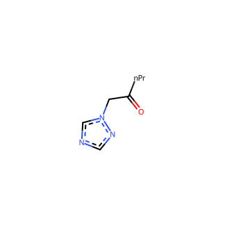 CCCC(=O)Cn1cncn1